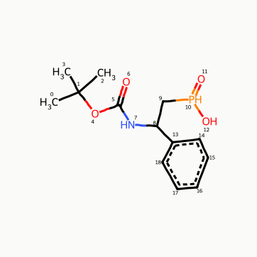 CC(C)(C)OC(=O)NC(C[PH](=O)O)c1ccccc1